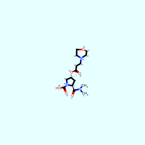 CN(C)C(=O)[C@@H]1C[C@@H](OC(=O)CCN2CCOCC2)CN1C(=O)O